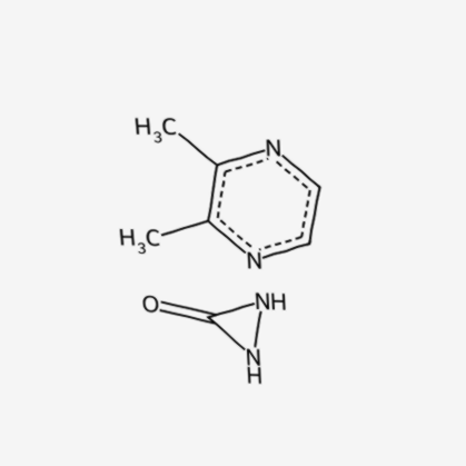 Cc1nccnc1C.O=C1NN1